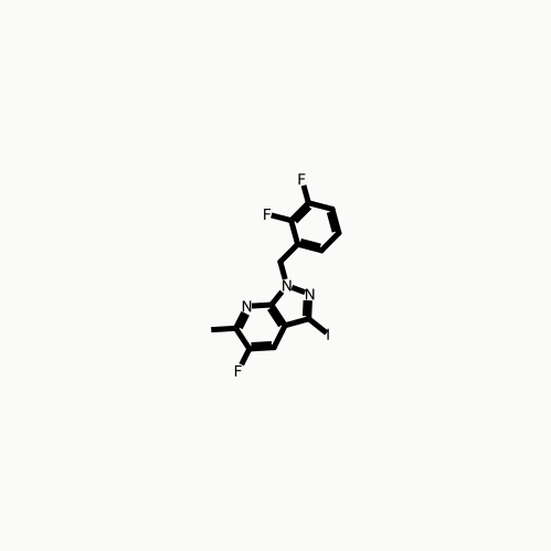 Cc1nc2c(cc1F)c(I)nn2Cc1cccc(F)c1F